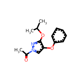 CC(=O)n1cc(Oc2ccccc2)c(OC(C)C)n1